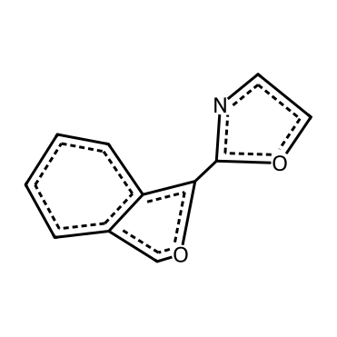 c1ccc2c(-c3ncco3)occ2c1